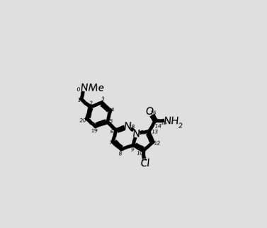 CNCc1ccc(-c2ccc3c(Cl)cc(C(N)=O)n3n2)cc1